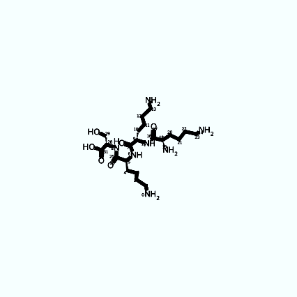 NCCCC[C@H](NC(=O)[C@H](CCCCN)NC(=O)[C@@H](N)CCCCN)C(=O)N[C@@H](CO)C(=O)O